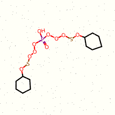 O=P(O)(OOOSOC1CCCCC1)OOOSOC1CCCCC1